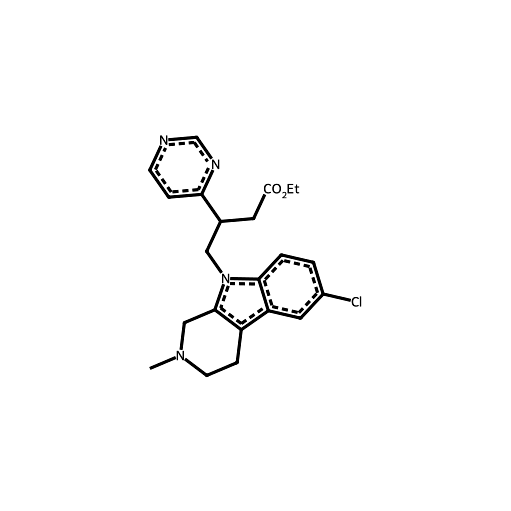 CCOC(=O)CC(Cn1c2c(c3cc(Cl)ccc31)CCN(C)C2)c1ccncn1